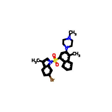 Cc1c(N2CCN(C)CC2)cc(S(=O)(=O)n2cc(C)c3ccc(Br)cc32)c2ccccc12